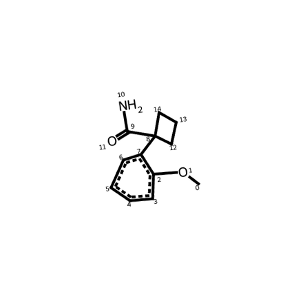 COc1ccccc1C1(C(N)=O)CCC1